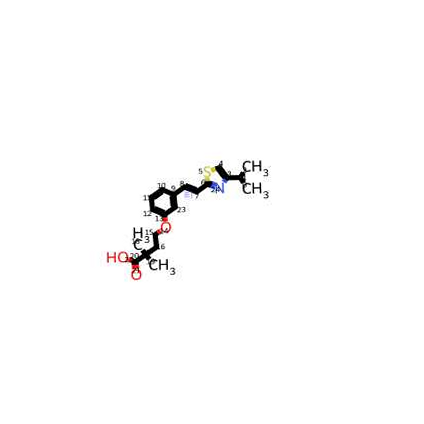 CC(C)c1csc(/C=C/c2cccc(OCCC(C)(C)C(=O)O)c2)n1